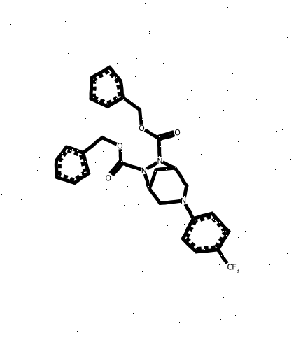 O=C(OCc1ccccc1)N1C2CC(CN(c3ccc(C(F)(F)F)cc3)C2)N1C(=O)OCc1ccccc1